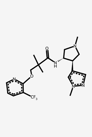 CN1C[C@@H](NC(=O)C(C)(C)COc2ncccc2C(F)(F)F)[C@H](c2cnn(C)c2)C1